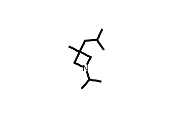 CC(C)CC1(C)CN(C(C)C)C1